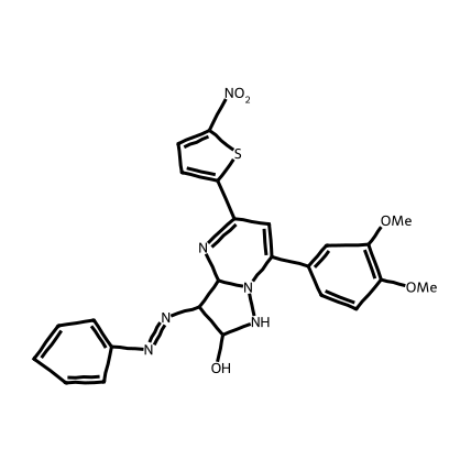 COc1ccc(C2=CC(c3ccc([N+](=O)[O-])s3)=NC3C(N=Nc4ccccc4)C(O)NN23)cc1OC